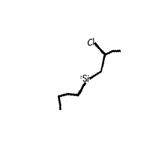 CCC[Si]CC(C)Cl